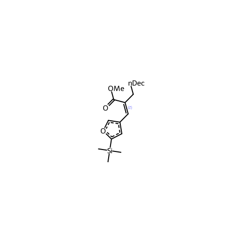 CCCCCCCCCCC/C(=C/c1coc([Si](C)(C)C)c1)C(=O)OC